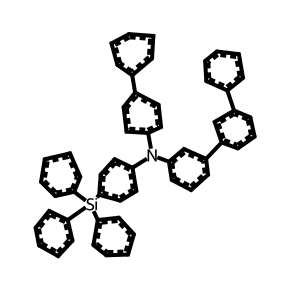 c1ccc(-c2ccc(N(c3ccc([Si](c4ccccc4)(c4ccccc4)c4ccccc4)cc3)c3cccc(-c4cccc(-c5ccccc5)c4)c3)cc2)cc1